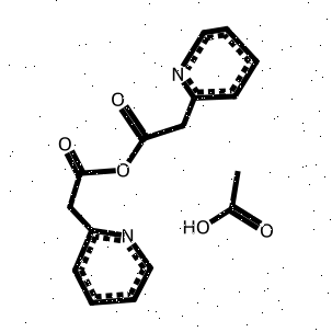 CC(=O)O.O=C(Cc1ccccn1)OC(=O)Cc1ccccn1